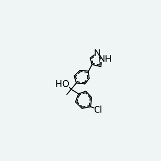 CC(O)(c1ccc(Cl)cc1)c1ccc(-c2cn[nH]c2)cc1